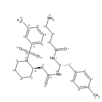 Cc1ccc(C[C@@H](NC(=O)CCCN)NC(=O)O[C@H]2CCCCN2S(=O)(=O)c2cccc(C(F)(F)F)c2)cc1